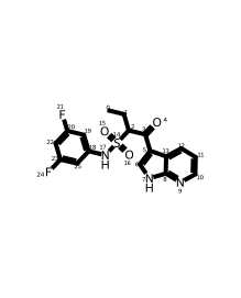 CCC(C(=O)c1c[nH]c2ncccc12)S(=O)(=O)Nc1cc(F)cc(F)c1